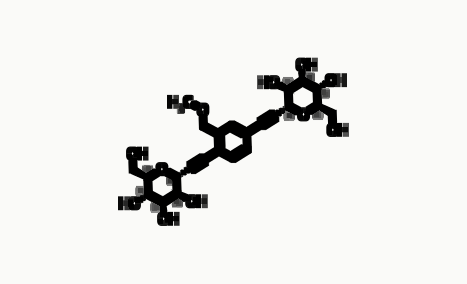 COCc1cc(C#C[C@H]2O[C@H](CO)[C@@H](O)[C@H](O)[C@@H]2O)ccc1C#C[C@H]1O[C@H](CO)[C@@H](O)[C@H](O)[C@@H]1O